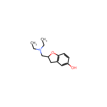 CCN(CC)CC1Cc2cc(O)ccc2O1